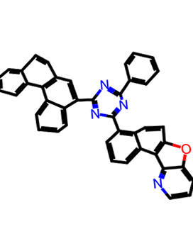 c1ccc(-c2nc(-c3cc4ccc5ccccc5c4c4ccccc34)nc(-c3cccc4c3ccc3oc5cccnc5c34)n2)cc1